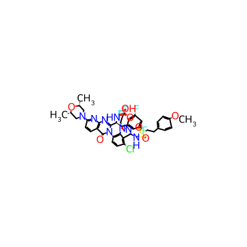 COc1ccc(CCS(=O)(=O)Nc2nn(CC(F)(F)F)c3c(-n4c([C@H](Cc5cc(F)cc(F)c5)NC(=O)O)nc5nc(N6C[C@@H](C)O[C@@H](C)C6)ccc5c4=O)ccc(Cl)c23)cc1